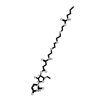 CCCCNC(=O)OCCOCCOCCOCCNC(=O)CCC(=O)O[C@@H]1C(F)[C@H](n2ccc(=O)[nH]c2=O)O[C@@H]1CC